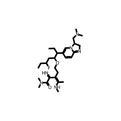 CCC(F)CC(OCC/C(C(=N)C(=O)N(C)C)=C(\C)NC)C(CC)C1=CN2C(=NCC2CN(C)C)C=C1